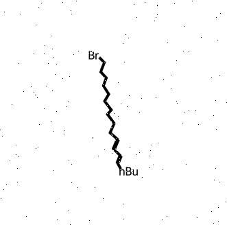 CCCC/C=C/C=C/CCCCCCCCCCBr